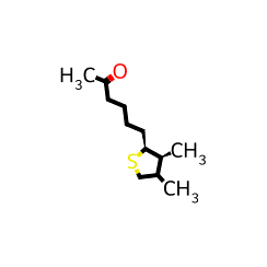 CC(=O)CCCC[C@@H]1SCC(C)[C@@H]1C